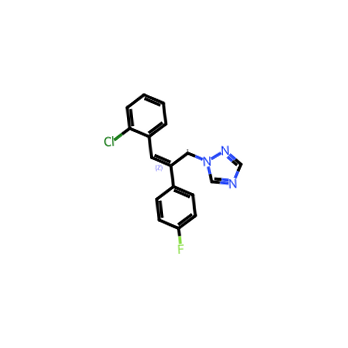 Fc1ccc(/C([CH]n2cncn2)=C/c2ccccc2Cl)cc1